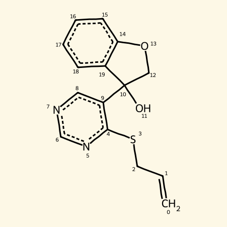 C=CCSc1ncncc1C1(O)COc2ccccc21